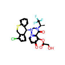 C[C@@H](N1CN([C@@H]2c3ccccc3SCc3c(Cl)cccc32)n2ccc(=O)c(OC(=O)CO)c2C1=O)C(F)(F)F